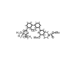 COc1nc(-c2cccc(-c3cccc(B4OC(C)(C)C(C)(C)O4)c3Cl)c2Cl)cc2c1CCN(C(=O)OC(C)(C)C)C2